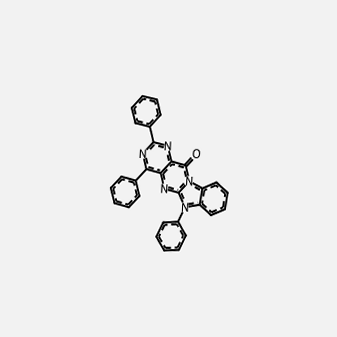 O=c1c2nc(-c3ccccc3)nc(-c3ccccc3)c2nc2n(-c3ccccc3)c3ccccc3n12